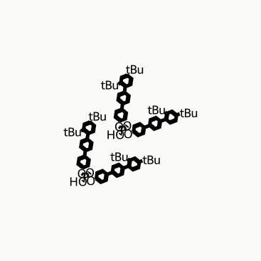 CC(C)(C)c1ccc(-c2ccc(-c3ccc(OP(=O)(O)Oc4ccc(-c5ccc(-c6ccc(C(C)(C)C)cc6C(C)(C)C)cc5)cc4)cc3)cc2)c(C(C)(C)C)c1.CC(C)(C)c1ccc(-c2ccc(-c3ccc(OP(=O)(O)Oc4ccc(-c5ccc(-c6ccc(C(C)(C)C)cc6C(C)(C)C)cc5)cc4)cc3)cc2)c(C(C)(C)C)c1